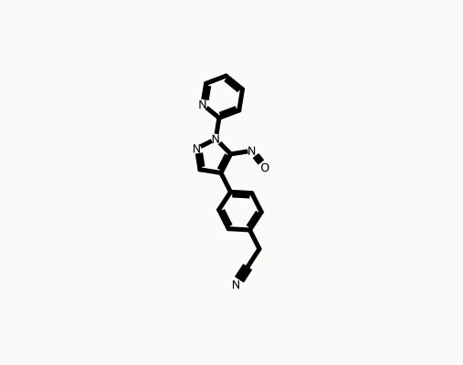 N#CCc1ccc(-c2cnn(-c3ccccn3)c2N=O)cc1